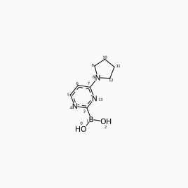 OB(O)c1nccc(N2CCCC2)n1